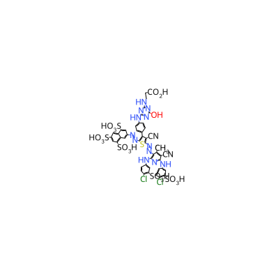 Cc1c(C#N)c(Nc2ccc(Cl)c(S(=O)(=O)O)c2)nc(Nc2ccc(Cl)c(S(=O)(=O)O)c2)c1N=Nc1sc(N=Nc2cc(S(=O)(=O)O)c3cc(S(=O)(=O)O)cc(S(=O)(=O)O)c3c2)c(-c2ccc(Nc3nc(O)nc(NCCC(=O)O)n3)cc2)c1C#N